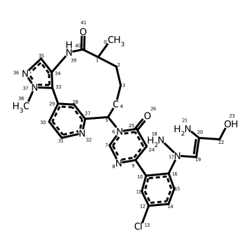 CC1CCCC(n2cnc(-c3cc(Cl)ccc3N(N)/C=C(\N)CO)cc2=O)c2cc(ccn2)-c2c(cnn2C)NC1=O